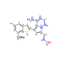 COc1cc(C)cc2cc(-c3cc(C=NO)n4ncnc(N)c34)sc12